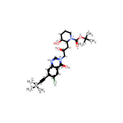 CC(C)(C)OC(=O)N1CCCC(O)C1CC(=O)Cn1cnc2cc(C#C[Si](C)(C)C)c(Cl)cc2c1=O